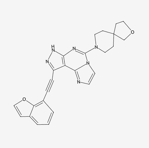 C(#Cc1n[nH]c2nc(N3CCC4(CCOC4)CC3)n3ccnc3c12)c1cccc2ccoc12